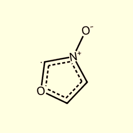 [O-][n+]1[c]occ1